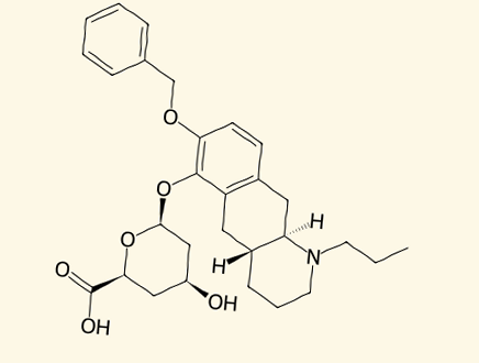 CCCN1CCC[C@@H]2Cc3c(ccc(OCc4ccccc4)c3O[C@H]3C[C@@H](O)C[C@@H](C(=O)O)O3)C[C@H]21